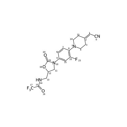 N#CC=C1CCN(c2ccc(N3CC(CNC(=O)C(F)(F)F)OC3=O)cc2F)CC1